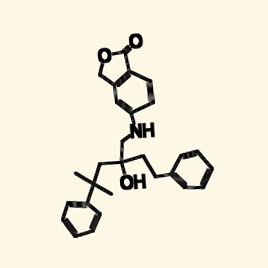 CC(C)(CC(O)(CCc1ccccc1)CNc1ccc2c(c1)COC2=O)c1ccccc1